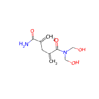 C=C(CC(=C)C(=O)N(CO)CO)C(N)=O